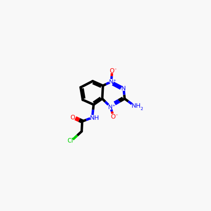 Nc1n[n+]([O-])c2cccc(NC(=O)CCl)c2[n+]1[O-]